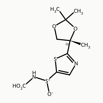 CC1(C)OC[C@@](C)(c2ncc([S+]([O-])NC(=O)O)s2)O1